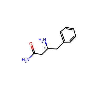 NC(=O)C[C@@H](N)Cc1ccccc1